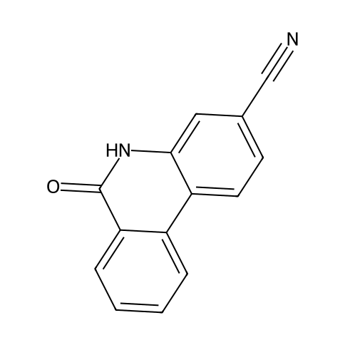 N#Cc1ccc2c(c1)[nH]c(=O)c1ccccc12